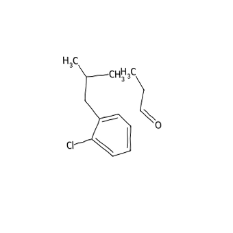 CC(C)Cc1ccccc1Cl.CCC=O